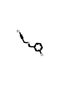 CCC#CCN=Cc1cccc(Cl)c1